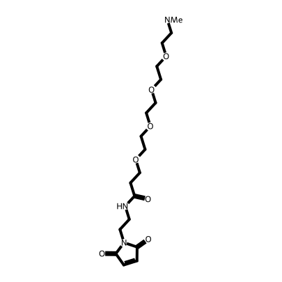 CNCCOCCOCCOCCOCCC(=O)NCCN1C(=O)C=CC1=O